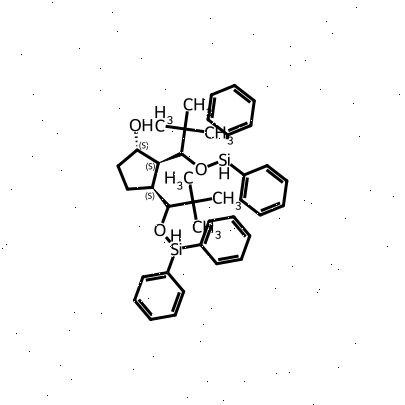 CC(C)(C)C(O[SiH](c1ccccc1)c1ccccc1)[C@H]1[C@@H](C(O[SiH](c2ccccc2)c2ccccc2)C(C)(C)C)CC[C@@H]1O